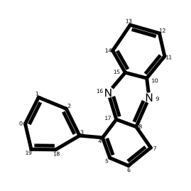 c1ccc(-c2cccc3nc4ccccc4nc23)cc1